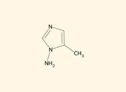 Cc1cncn1N